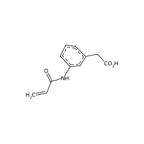 C=CC(=O)Nc1cccc(CC(=O)O)c1